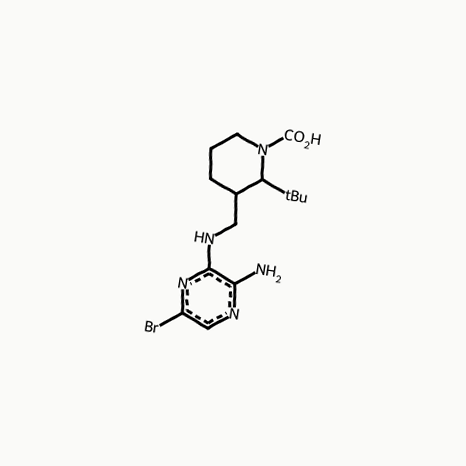 CC(C)(C)C1C(CNc2nc(Br)cnc2N)CCCN1C(=O)O